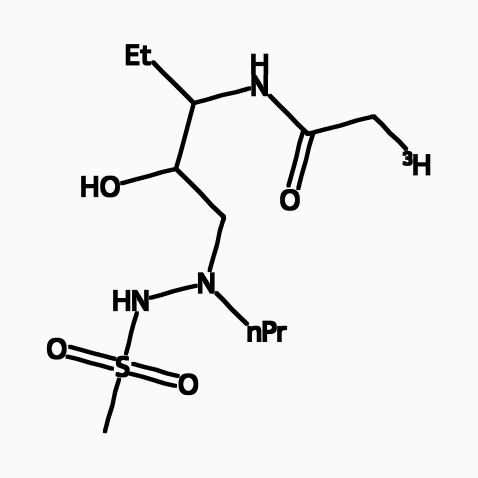 [3H]CC(=O)NC(CC)C(O)CN(CCC)NS(C)(=O)=O